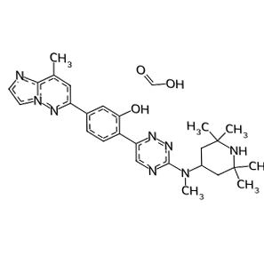 Cc1cc(-c2ccc(-c3cnc(N(C)C4CC(C)(C)NC(C)(C)C4)nn3)c(O)c2)nn2ccnc12.O=CO